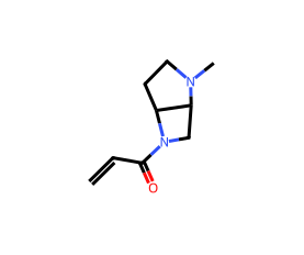 C=CC(=O)N1CC2C1CCN2C